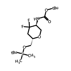 CC(C)(C)OC(=O)N[C@H]1CO[C@H](CO[Si](C)(C)C(C)(C)C)CC1(F)F